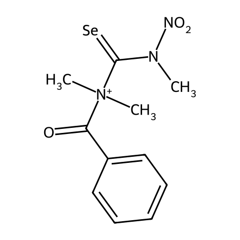 CN(C(=[Se])[N+](C)(C)C(=O)c1ccccc1)[N+](=O)[O-]